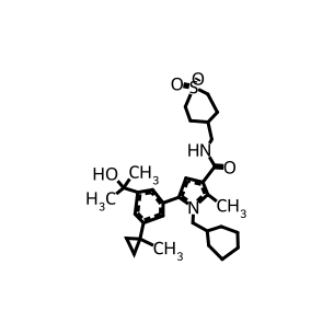 Cc1c(C(=O)NCC2CCS(=O)(=O)CC2)cc(-c2cc(C(C)(C)O)cc(C3(C)CC3)c2)n1CC1CCCCC1